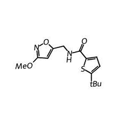 COc1cc(CNC(=O)c2ccc(C(C)(C)C)s2)on1